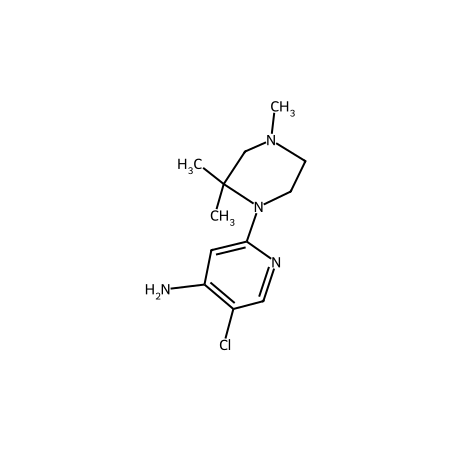 CN1CCN(c2cc(N)c(Cl)cn2)C(C)(C)C1